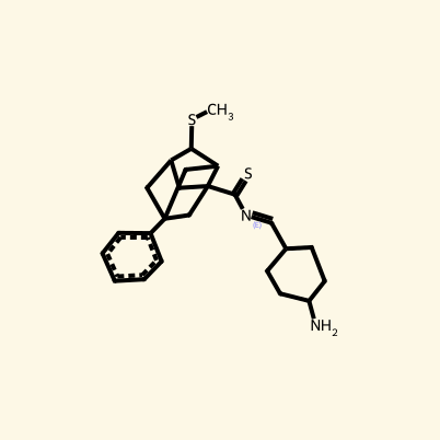 CSC1C2CC3(c4ccccc4)CC1C(C(=S)/N=C/C1CCC(N)CC1)(C2)C3